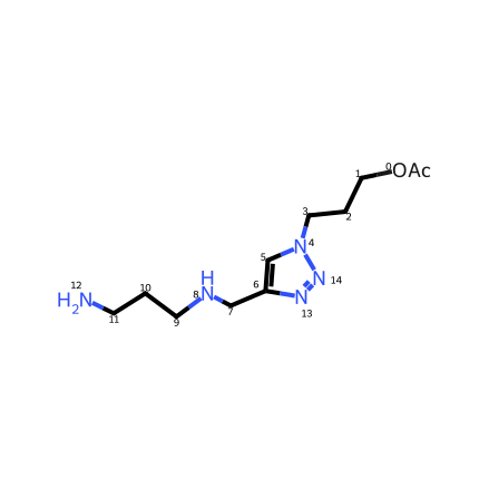 CC(=O)OCCCn1cc(CNCCCN)nn1